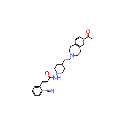 CC(=O)c1ccc2c(c1)CCN(CCC1CCC(NC(=O)C=Cc3ccccc3C#N)CC1)CC2